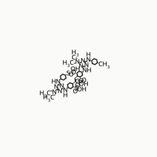 CCN(CC)c1nc(Nc2ccc(C)cc2)nc(Nc2ccc(/C=C/c3ccc(Nc4nc(Nc5ccc(SOOO)cc5)nc(N(CC)CC)n4)cc3S(=O)(=O)O)c(S(=O)(=O)O)c2)n1